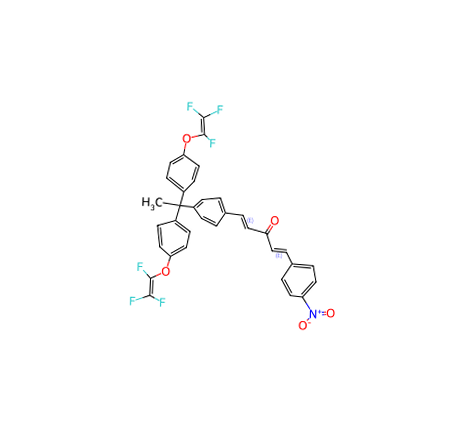 CC(c1ccc(/C=C/C(=O)/C=C/c2ccc([N+](=O)[O-])cc2)cc1)(c1ccc(OC(F)=C(F)F)cc1)c1ccc(OC(F)=C(F)F)cc1